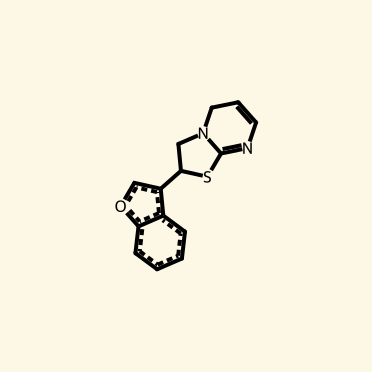 C1=CN=C2SC(c3coc4ccccc34)CN2C1